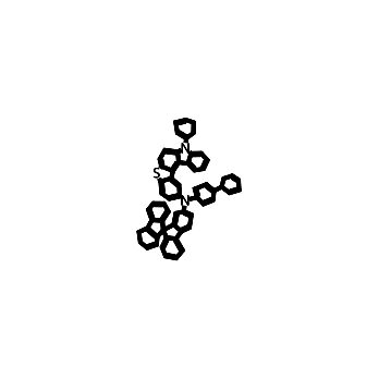 C1=CCCC(n2c3ccccc3c3c4c(ccc32)sc2ccc(N(c3ccc(C5C=CC=CC5)cc3)c3ccc5c(c3)C3(C6=C(CCC=C6)c6ccccc63)c3ccccc3-5)cc24)=C1